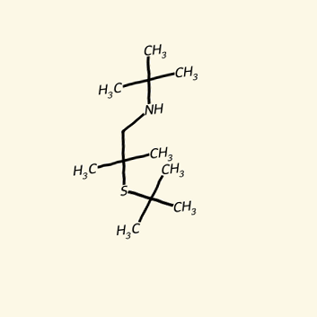 CC(C)(C)NCC(C)(C)SC(C)(C)C